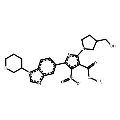 COC(=O)c1c(N2CCC(CO)C2)sc(-c2ccc3c(c2)ncn3C2CCCOC2)c1[N+](=O)[O-]